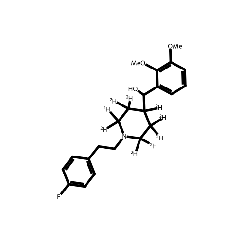 [2H]C1([2H])N(CCc2ccc(F)cc2)C([2H])([2H])C([2H])([2H])C([2H])(C(O)c2cccc(OC)c2OC)C1([2H])[2H]